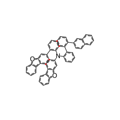 c1ccc(-c2ccccc2N(c2ccc3c(c2)oc2ccccc23)c2ccccc2-c2ccc3c(c2)oc2ccccc23)c(-c2ccc3ccccc3c2)c1